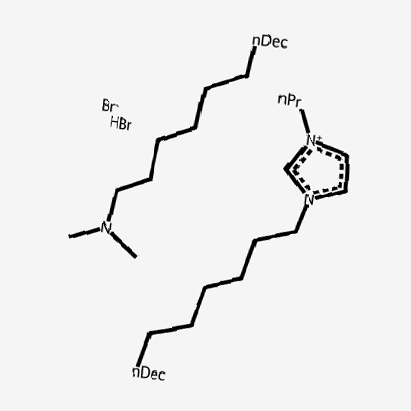 Br.CCCCCCCCCCCCCCCCN(C)C.CCCCCCCCCCCCCCCCn1cc[n+](CCC)c1.[Br-]